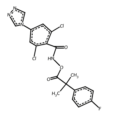 CC(C)(C(=O)ONC(=O)c1c(Cl)cc(-n2cnnc2)cc1Cl)c1ccc(F)cc1